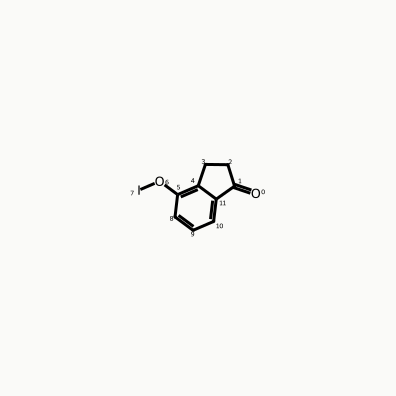 O=C1CCc2c(OI)cccc21